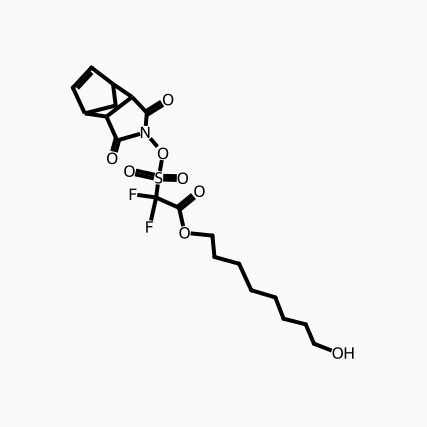 O=C1C2C3C=CC(C3)C2C(=O)N1OS(=O)(=O)C(F)(F)C(=O)OCCCCCCCCO